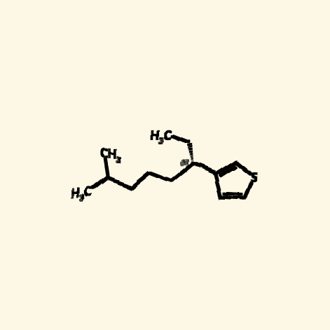 CC[C@@H](CCCC(C)C)c1ccsc1